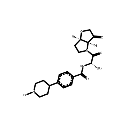 CC(C)N1CCC(c2ccc(C(=O)N[C@H](C(=O)N3CC[C@H]4OCC(=O)[C@H]43)C(C)(C)C)cc2)CC1